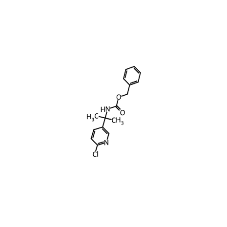 CC(C)(NC(=O)OCc1ccccc1)c1ccc(Cl)nc1